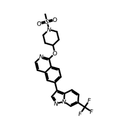 CS(=O)(=O)N1CCC(Oc2nccc3cc(-c4cnn5cc(C(F)(F)F)ccc45)ccc23)CC1